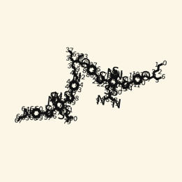 CCCCC(CC)COc1ccc(-c2ccc(-c3c4c(c(-c5ccc(-c6ccc(OCC(CC)C(CCC)CCCN(C)c7ccc(-c8ccc(-c9c%10c(c(-c%11ccc(-c%12ccc(N(C)CCC)cc%12)s%11)c%11nsnc9%11)SC(=C(C)C)S%10)s8)cc7)cc6)s5)c5nsnc35)SC(=C(C#N)C#N)S4)s2)cc1